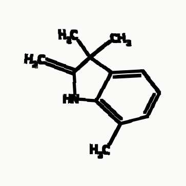 C=C1Nc2c(C)cccc2C1(C)C